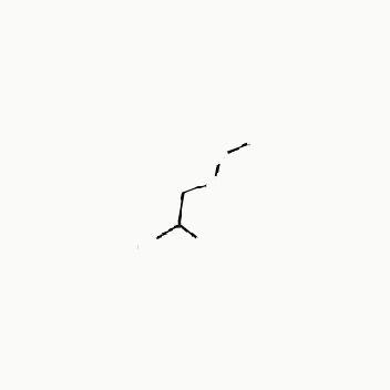 CCCC(CC)CSSC(C)C